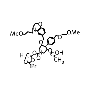 COCCCN1CCOc2ccc(CO[C@H]3CN(C(=O)OC(C)OC(=O)C(C)C)C[C@@H](OCC(C)O)[C@@H]3c3ccc(COCCOC)cc3)cc21